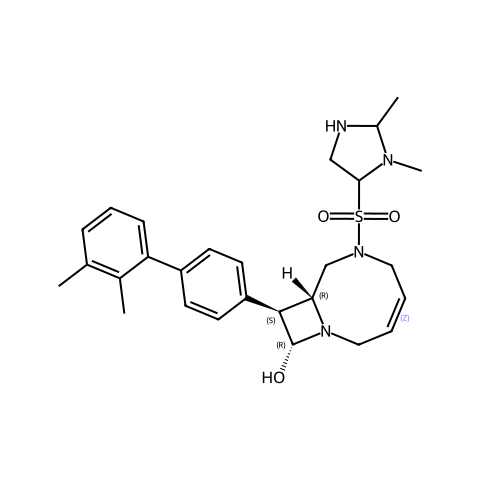 Cc1cccc(-c2ccc([C@@H]3[C@@H](O)N4C/C=C\CN(S(=O)(=O)C5CNC(C)N5C)C[C@@H]34)cc2)c1C